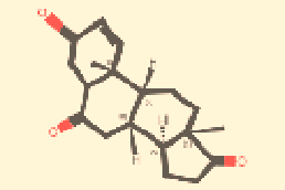 C[C@]12C=CC(=O)CC1C(=O)C[C@@H]1[C@H]2CC[C@]2(C)C(=O)CC[C@@H]12